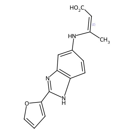 C/C(=C/C(=O)O)Nc1ccc2[nH]c(-c3ccco3)nc2c1